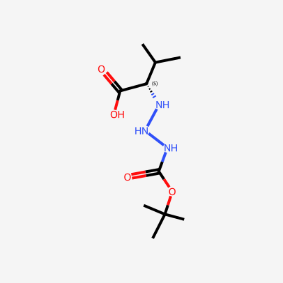 CC(C)[C@H](NNNC(=O)OC(C)(C)C)C(=O)O